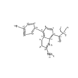 CC(C)(C)C(=O)c1ccc(-c2ccc(F)cc2)c2ccc(N)nc12